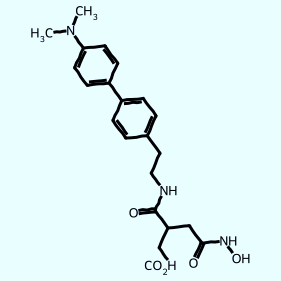 CN(C)c1ccc(-c2ccc(CCNC(=O)C(CC(=O)O)CC(=O)NO)cc2)cc1